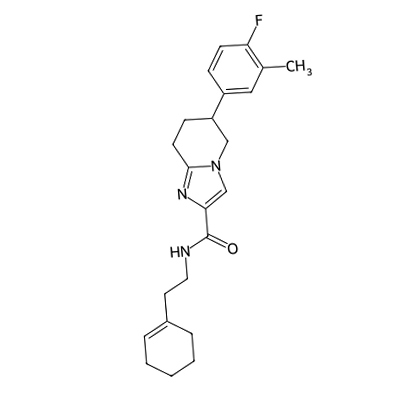 Cc1cc(C2CCc3nc(C(=O)NCCC4=CCCCC4)cn3C2)ccc1F